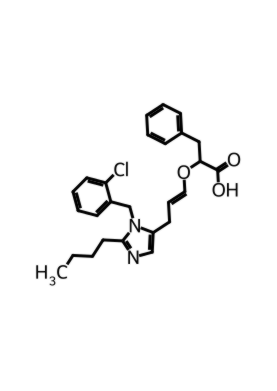 CCCCc1ncc(CC=COC(Cc2ccccc2)C(=O)O)n1Cc1ccccc1Cl